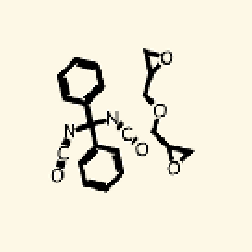 C(OCC1CO1)C1CO1.O=C=NC(N=C=O)(c1ccccc1)c1ccccc1